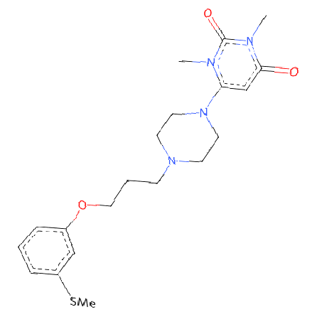 CSc1cccc(OCCCN2CCN(c3cc(=O)n(C)c(=O)n3C)CC2)c1